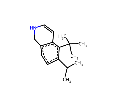 CC(C)c1ccc2c(c1C(C)(C)C)C=CNC2